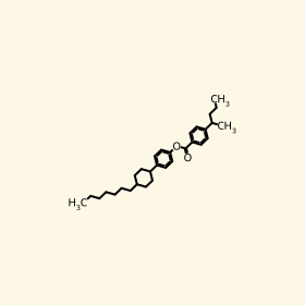 CCCCCCCC1CCC(c2ccc(OC(=O)c3ccc(C(C)CCC)cc3)cc2)CC1